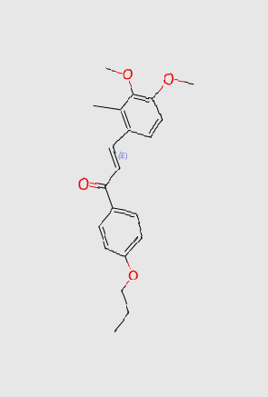 CCCOc1ccc(C(=O)/C=C/c2ccc(OC)c(OC)c2C)cc1